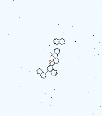 CC1(C)c2cc(-c3cccc4ccccc34)ccc2-c2ccc3c(sc4cc(-c5cccc6ccccc56)c5ccccc5c43)c21